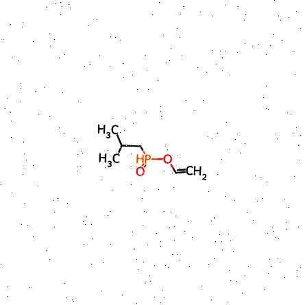 C=CO[PH](=O)CC(C)C